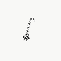 NCCCCCCCCCCCCCCc1c(F)c(F)c(F)c(F)c1F